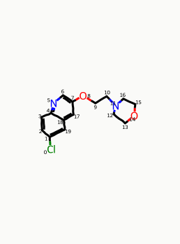 Clc1ccc2ncc(OCCN3CCOCC3)cc2c1